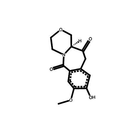 COc1cc2c(cc1O)CC(=O)[C@@H]1COCCN1C2=O